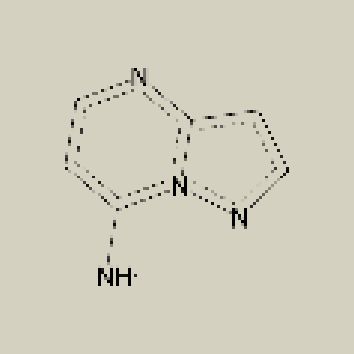 [NH]c1ccnc2ccnn12